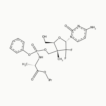 CC(C)OC(=O)[C@H](C)NP(=O)(OC[C@]1(C)[C@@H](CO)O[C@H](n2ccc(N)nc2=O)C1(F)F)Oc1ccccc1